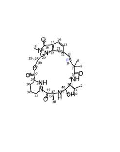 CC(C)[C@@H]1NC(=O)C(C)(C)/C=C/c2ccc3c(=O)n(C)c(nc3c2)[C@@H](C)OC(=O)C2CCCN(N2)C(=O)[C@H](C)NC1O